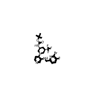 CC(C)(C)OC(=O)N[C@H]1C[C@@H](C(F)(F)F)CN(c2ccncc2NCc2ccc(F)c(Br)n2)C1